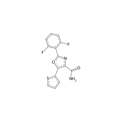 NC(=O)c1nc(-c2c(F)cccc2F)oc1-c1cccs1